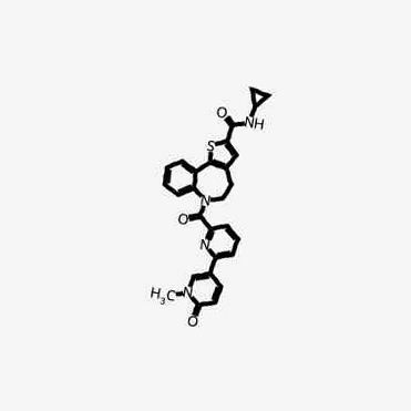 Cn1cc(-c2cccc(C(=O)N3CCc4cc(C(=O)NC5CC5)sc4-c4ccccc43)n2)ccc1=O